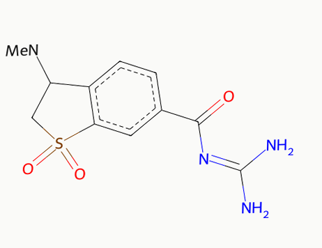 CNC1CS(=O)(=O)c2cc(C(=O)N=C(N)N)ccc21